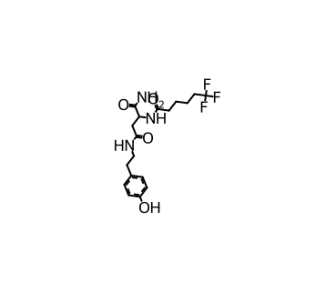 NC(=O)C(CC(=O)NCCc1ccc(O)cc1)NC(=O)CCCCC(F)(F)F